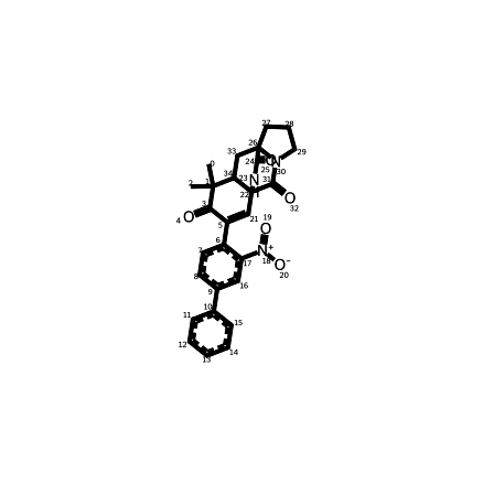 CC1(C)C(=O)C(c2ccc(-c3ccccc3)cc2[N+](=O)[O-])=CC23NC(=O)C4(CCCN4C2=O)CC13